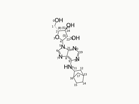 OC[C@H]1OC(n2cnc3c(NC4CC5CCC4C5)n[c]nc32)[C@@H](O)[C@@H]1O